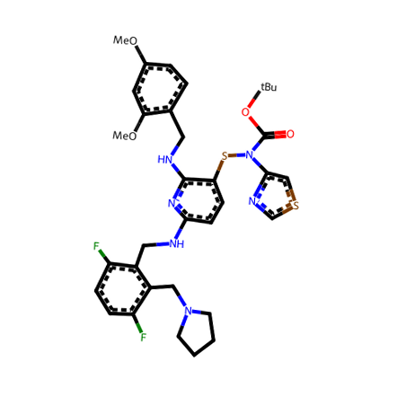 COc1ccc(CNc2nc(NCc3c(F)ccc(F)c3CN3CCCC3)ccc2SN(C(=O)OC(C)(C)C)c2cscn2)c(OC)c1